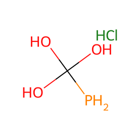 Cl.OC(O)(O)P